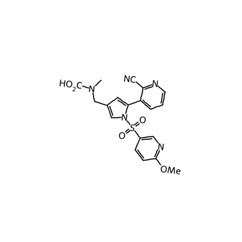 COc1ccc(S(=O)(=O)n2cc(CN(C)C(=O)O)cc2-c2cccnc2C#N)cn1